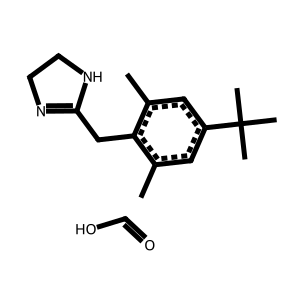 Cc1cc(C(C)(C)C)cc(C)c1CC1=NCCN1.O=CO